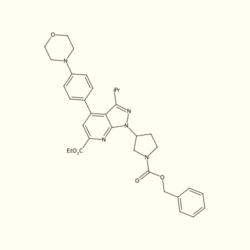 CCOC(=O)c1cc(-c2ccc(N3CCOCC3)cc2)c2c(C(C)C)nn(C3CCN(C(=O)OCc4ccccc4)C3)c2n1